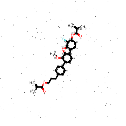 C=C(C)C(=O)OCCCc1ccc(-c2ccc3c(oc4c(F)c(OC(=O)C(=C)C)ccc43)c2OC)cc1